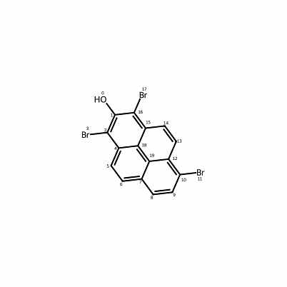 Oc1c(Br)c2ccc3ccc(Br)c4ccc(c1Br)c2c34